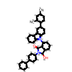 N#Cc1ccc(-c2ccc3c(c2)c2ccccc2n3-c2cccc3c2C(=O)N(c2ccc(-c4ccccc4)cc2)C3O)c(C#N)c1